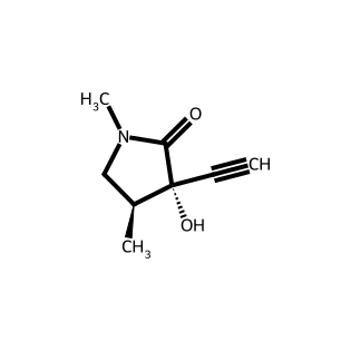 C#C[C@]1(O)C(=O)N(C)C[C@@H]1C